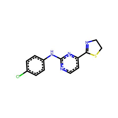 Clc1ccc(Nc2nccc(C3=NCCS3)n2)cc1